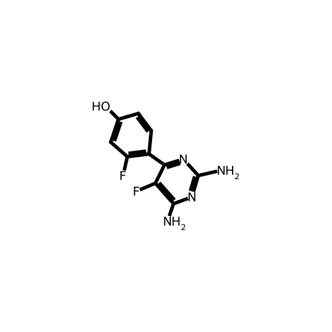 Nc1nc(N)c(F)c(-c2ccc(O)cc2F)n1